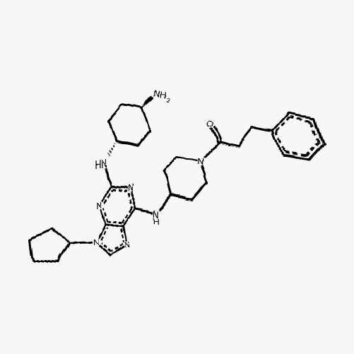 N[C@H]1CC[C@H](Nc2nc(NC3CCN(C(=O)CCc4ccccc4)CC3)c3ncn(C4CCCC4)c3n2)CC1